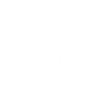 Cc1cnc2n1-c1cc(N)ccc1CCC2